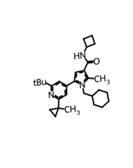 Cc1c(C(=O)NC2CCC2)cc(-c2cc(C(C)(C)C)nc(C3(C)CC3)c2)n1CC1CCCCC1